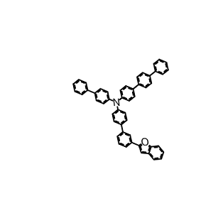 c1ccc(-c2ccc(-c3ccc(N(c4ccc(-c5ccccc5)cc4)c4ccc(-c5cccc(-c6cc7ccccc7o6)c5)cc4)cc3)cc2)cc1